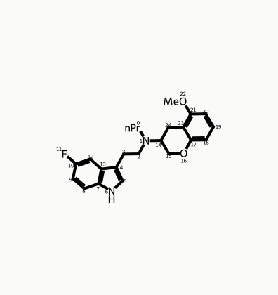 CCCN(CCc1c[nH]c2ccc(F)cc12)C1COc2cccc(OC)c2C1